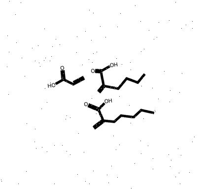 C=C(CCCC)C(=O)O.C=C(CCCCC)C(=O)O.C=CC(=O)O